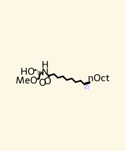 CCCCCCCC/C=C\CCCCCCCC(=O)N[C@@H](CO)C(=O)OC